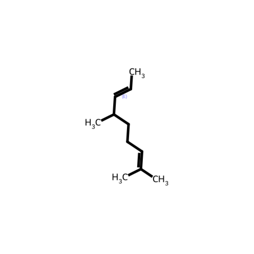 C/C=C/C(C)CCC=C(C)C